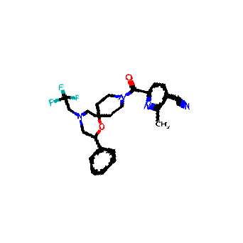 Cc1nc(C(=O)N2CCC3(CC2)CN(CC(F)(F)F)CC(c2ccccc2)O3)ccc1C#N